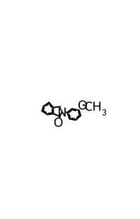 COc1cccc(N2Cc3ccccc3C2=O)c1